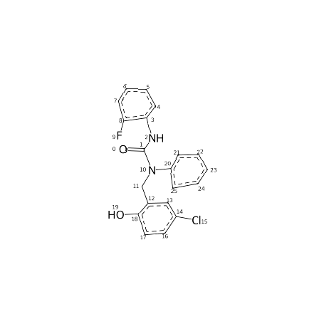 O=C(Nc1ccccc1F)N(Cc1cc(Cl)ccc1O)c1ccccc1